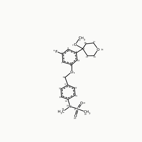 COC1(c2cc(F)cc(OCc3ccc(N(C)S(C)(=O)=O)cc3)c2)CCOCC1